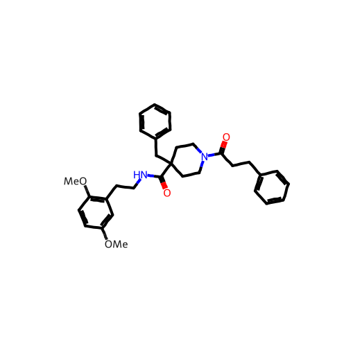 COc1ccc(OC)c(CCNC(=O)C2(Cc3ccccc3)CCN(C(=O)CCc3ccccc3)CC2)c1